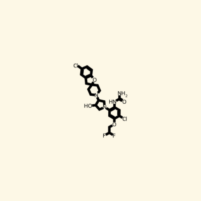 NC(=O)Nc1cc(Cl)c(OCC(F)F)cc1N1CC(O)C(N2CCC3(CC2)Cc2cc(Cl)ccc2O3)C1